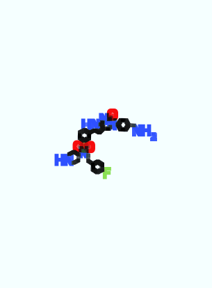 NCc1ccc(-n2cc3cc(-c4cccc(S(=O)(=O)N(CCc5ccc(F)cc5)C5CCNCC5)c4)[nH]c3nc2=O)cc1